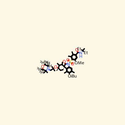 [2H]C1([2H])OC([2H])([2H])C(C)(C)N(CC(C)(C)O[C@@]2(C)CC[C@@]3(C(=O)N(S(=O)(=O)c4c(OC)cc(C(=O)NC(C)(CC)CC)c(C)c4C)c4cc(C)c(OCC(C)C)c(C)c43)C(C)C2C)C1([2H])[2H]